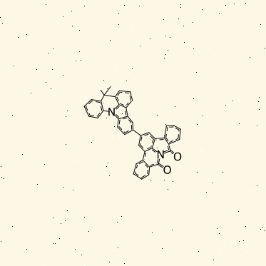 CC1(C)c2ccccc2-n2c3ccc(-c4cc5c6ccccc6c(=O)n6c(=O)c7ccccc7c(c4)c56)cc3c3cccc1c32